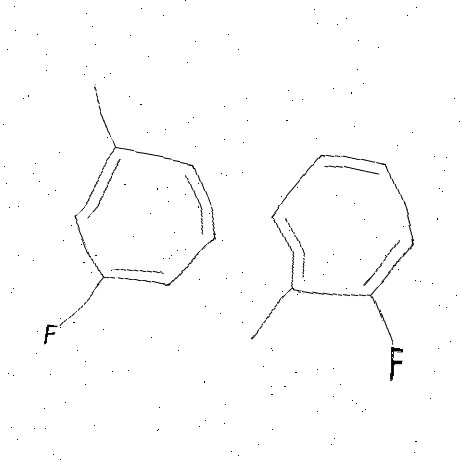 Cc1cccc(F)c1.Cc1ccccc1F